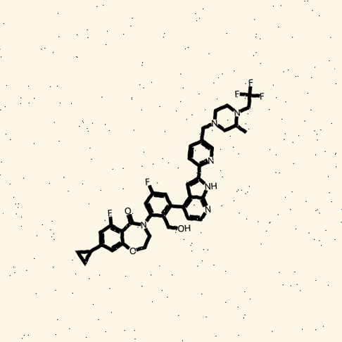 CC1CN(Cc2ccc(-c3cc4c(-c5cc(F)cc(N6CCOc7cc(C8CC8)cc(F)c7C6=O)c5CO)ccnc4[nH]3)nc2)CCN1CC(F)(F)F